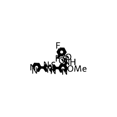 COc1ncc(-c2nn3cc(-c4ccnnc4)nc3s2)cc1NS(=O)(=O)c1ccc(F)cc1F